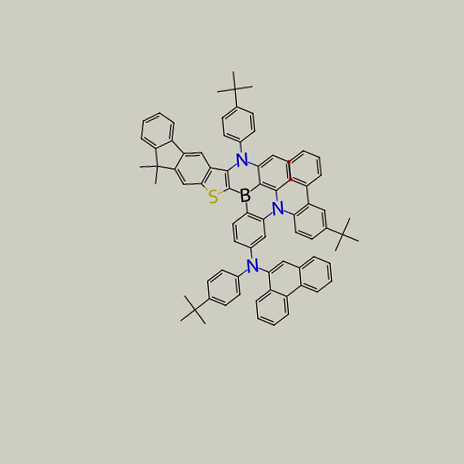 CC(C)(C)c1ccc(N2c3cccc4c3B(c3ccc(N(c5ccc(C(C)(C)C)cc5)c5cc6ccccc6c6ccccc56)cc3N4c3ccc(C(C)(C)C)cc3-c3ccccc3)c3sc4cc5c(cc4c32)-c2ccccc2C5(C)C)cc1